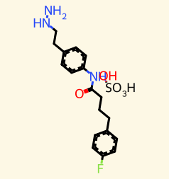 NNCCc1ccc(NC(=O)CCCc2ccc(F)cc2)cc1.O=S(=O)(O)O